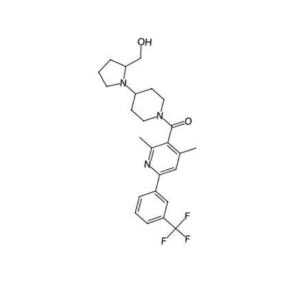 Cc1cc(-c2cccc(C(F)(F)F)c2)nc(C)c1C(=O)N1CCC(N2CCCC2CO)CC1